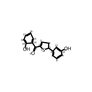 O=C(C1=CCC(c2cccc(O)c2)S1)c1ccccc1O